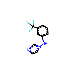 FC(F)(F)c1cccc(Nn2ccnc2)c1